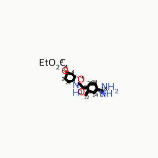 CCOC(=O)COC1CCC(NC(=O)c2occ3cc(C(=N)N)ccc23)CC1